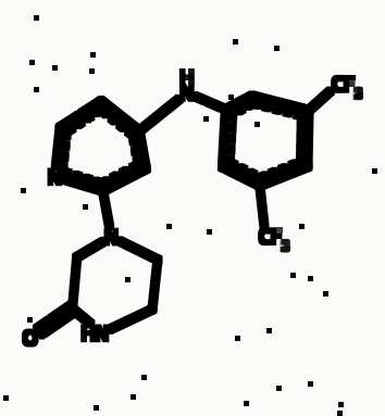 O=C1CN(c2cc(Nc3cc(C(F)(F)F)cc(C(F)(F)F)c3)ccn2)CCN1